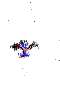 CC(C)C[C@H](NC(=O)[C@H](CCCNC(=N)N[N+](=O)[O-])NC(=O)COc1ccc(C(C)C)cc1)B1O[C@@H]2C[C@@H]3C[C@@H](C3(C)C)[C@]2(C)O1